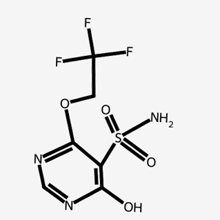 NS(=O)(=O)c1c(O)ncnc1OCC(F)(F)F